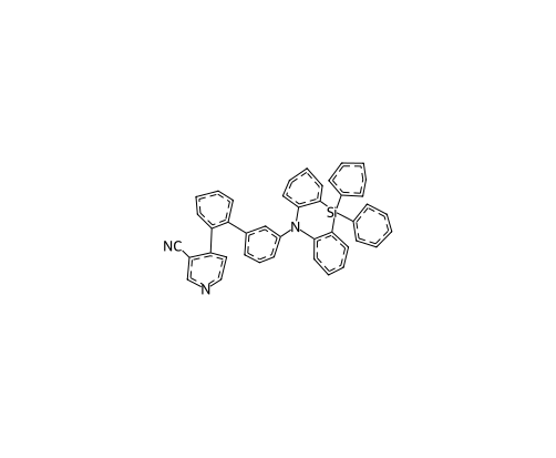 N#Cc1cnccc1-c1ccccc1-c1cccc(N2c3ccccc3[Si](c3ccccc3)(c3ccccc3)c3ccccc32)c1